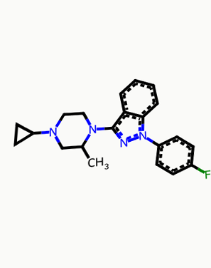 CC1CN(C2CC2)CCN1c1nn(-c2ccc(F)cc2)c2ccccc12